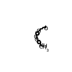 CNc1ccc(OCOc2ccc(OCCCCC3CO3)cc2)cc1